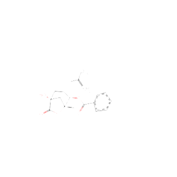 C=C(C)C[C@H]1C[C@]2(O)C[C@@H](OC2=O)[C@@H]1OC(=O)c1ccccc1